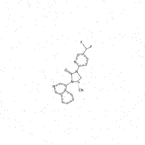 N#C[C@H]1CN(c2ccc(C(F)F)cn2)C(=O)N1c1cncc2ccccc12